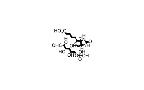 O=C(O)CCCC[C@@H]1SC[C@@H]2NC(=O)N[C@@H]21.O=C[C@H](O)[C@@H](O)[C@H](O)[C@H](O)COP(=O)(O)O